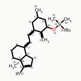 C=C1/C(=C\C=C2/CCC[C@]3(C)C(C(C)C)=CCC23)CC(C)CC1O[Si](C)(C)C(C)(C)C